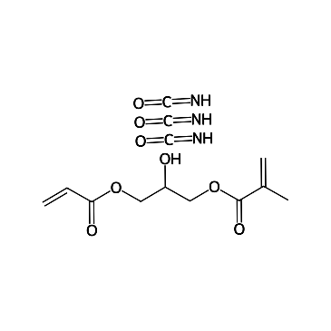 C=CC(=O)OCC(O)COC(=O)C(=C)C.N=C=O.N=C=O.N=C=O